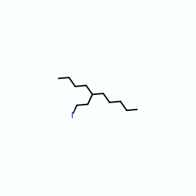 CCCCCC(CCI)CCCC